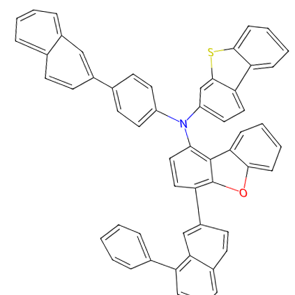 c1ccc(-c2cccc3ccc(-c4ccc(N(c5ccc(-c6ccc7ccccc7c6)cc5)c5ccc6c(c5)sc5ccccc56)c5c4oc4ccccc45)cc23)cc1